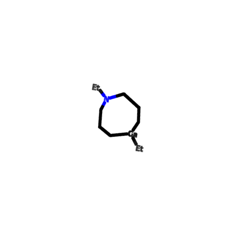 CCN1CC[CH2][Ga]([CH2]C)[CH2]CC1